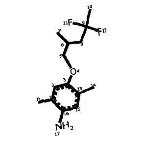 Cc1cc(OCC(C)CC(C)(F)F)c(C)cc1N